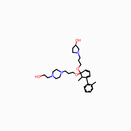 Cc1ccccc1C1=CC=CC(OCCCN2CCN(CCO)CC2)(OCCCN2CC[C@@H](O)C2)C1C